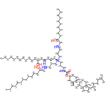 CCCCCCCCCCCCC(O)CNCCC[N+](CCCNCC(O)CCCCCCCCCC)(CCCNCC(O)CCCCCCCCCCCC)CCCNC(=O)OC1CCC2(C)C(=CCC3C2CCC2(C)C(C(C)CCCC(C)C)CCC32)C1